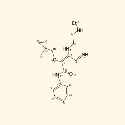 CCNCCN/C(C=N)=C(\OCC1(C)CC1)C(=O)Nc1ccccc1